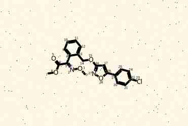 CO/N=C(/C(=O)OC)c1ccccc1COc1cc(-c2ccc(Cl)cc2)on1